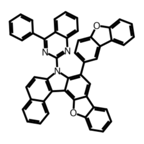 c1ccc(-c2nc(-n3c4ccc5ccccc5c4c4c5oc6ccccc6c5cc(-c5ccc6oc7ccccc7c6c5)c43)nc3ccccc23)cc1